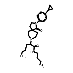 CCCCNC(=O)C(CCCC)N1CCC2(CCN(c3ccc(C4CC4)cc3)C2=O)CC1